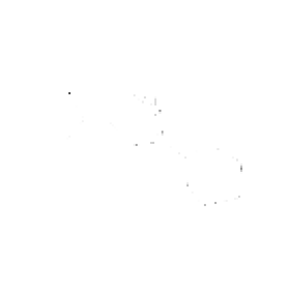 NC(=O)c1cc(N2CCCCC2)no1